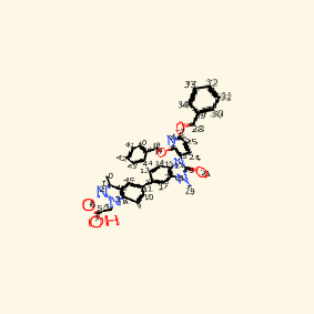 Cc1nn(CC(=O)O)c2ccc(-c3ccc4c(c3)n(C)c(=O)n4-c3ccc(OCc4ccccc4)nc3OCc3ccccc3)cc12